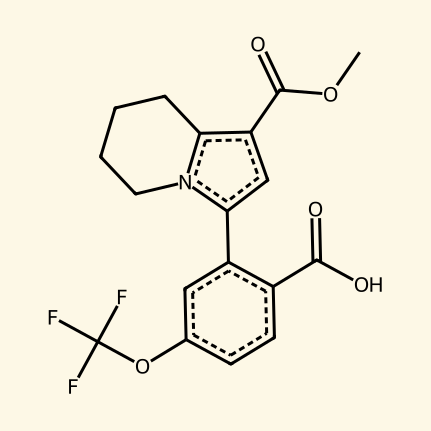 COC(=O)c1cc(-c2cc(OC(F)(F)F)ccc2C(=O)O)n2c1CCCC2